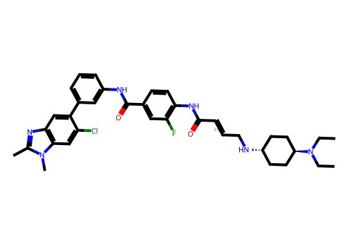 CCN(CC)[C@H]1CC[C@H](NC/C=C/C(=O)Nc2ccc(C(=O)Nc3cccc(-c4cc5nc(C)n(C)c5cc4Cl)c3)cc2F)CC1